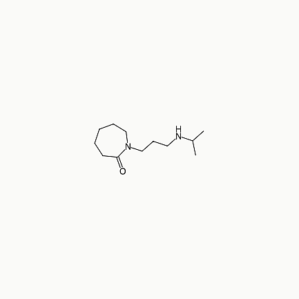 CC(C)NCCCN1CCCCCC1=O